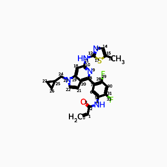 C=CC(=O)Nc1cc(-c2nc(Nc3ncc(C)s3)cc3c2ccn3CC2CC2)c(F)cc1F